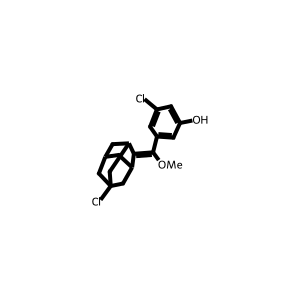 COC(=C1C2CC3CC1CC(Cl)(C3)C2)c1cc(O)cc(Cl)c1